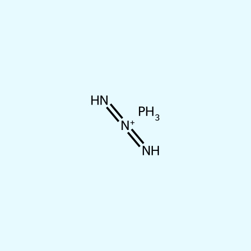 N=[N+]=N.P